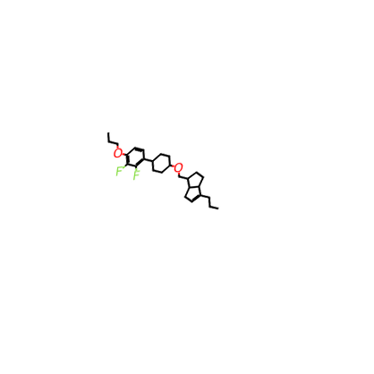 CCCOc1ccc(C2CCC(OCC3CCC4C(CCC)=CCC34)CC2)c(F)c1F